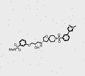 CNS(=O)(=O)c1cccc(OC[C@@H](O)CN[C@@H]2COC3(CCN(S(=O)(=O)c4cccc(-c5cnn(C)c5)c4)CC3)C2)c1